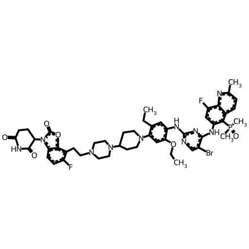 CCOc1cc(N2CCC(N3CCN(CCc4c(F)ccc5c4oc(=O)n5C4CCC(=O)NC4=O)CC3)CC2)c(CC)cc1Nc1ncc(Br)c(Nc2cc(F)c3nc(C)ccc3c2P(C)(C)=O)n1